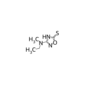 CCN(C)c1noc(=S)[nH]1